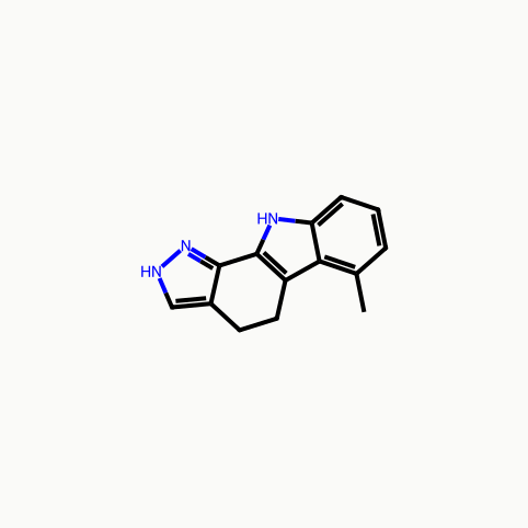 Cc1cccc2[nH]c3c(c12)CCc1c[nH]nc1-3